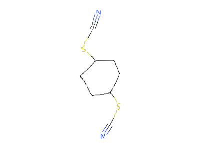 N#CSC1CCC(SC#N)CC1